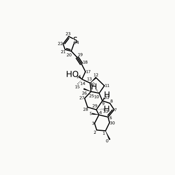 C[C@H]1CC[C@@]2(C)C(=CC[C@H]3[C@@H]4CC[C@H]([C@@](C)(O)CC#Cc5cccs5)[C@@]4(C)CC[C@@H]32)C1